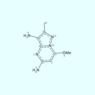 COc1cc(N)nc2c(N)c(C)nn12